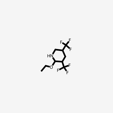 CCOC1NCC(C(F)(F)F)CC1C(F)(F)F